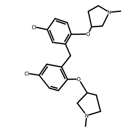 CN1CCC(Oc2ccc(Cl)cc2Cc2cc(Cl)ccc2OC2CCN(C)C2)C1